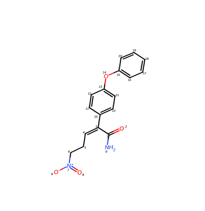 NC(=O)C(=CCC[N+](=O)[O-])c1ccc(Oc2ccccc2)cc1